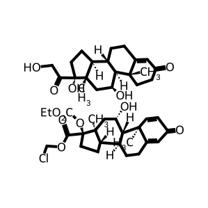 CCOC(=O)O[C@]1(C(=O)OCCl)CC[C@H]2[C@@H]3CCC4=CC(=O)C=C[C@]4(C)[C@H]3[C@@H](O)C[C@@]21C.C[C@]12CCC(=O)C=C1CC[C@@H]1[C@@H]2[C@@H](O)C[C@@]2(C)[C@H]1CC[C@]2(O)C(=O)CO